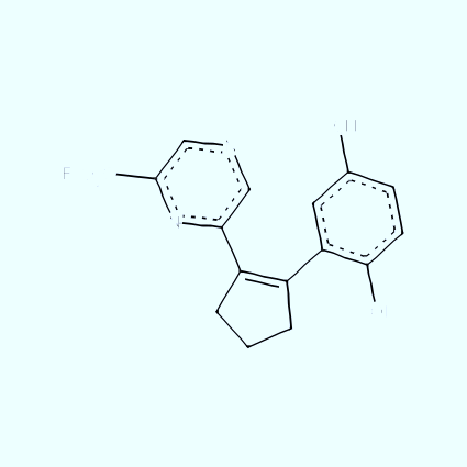 CCOC(=O)c1cncc(C2=C(c3cc(C)ccc3O)CCC2)n1